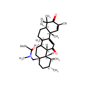 CNC(=O)N(C)C[C@]12CC[C@@H](C)[C@H](C)[C@H]1[C@H]1C(=O)C=C3[C@@]4(C)C=C(C#N)C(=O)C(C)(C)[C@@H]4CC[C@@]3(C)[C@]1(C)CC2